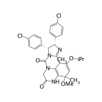 COC1(C)C=C(OC(C)C)C2(C)C3=N[C@@H](c4ccc(Cl)cc4)[C@@H](c4ccc(Cl)cc4)N3C(=O)N3CC(=O)NC1=C32